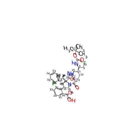 CC(C)(C)OC(=O)NC(CF)[C@H]1CC[C@H](C(=O)N2CC(c3c(F)cccc3C(=O)O)[C@H](c3ccccc3)[C@@]2(C)C(N)=O)CC1